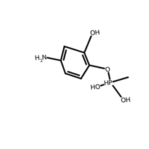 C[PH](O)(O)Oc1ccc(N)cc1O